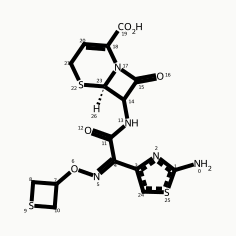 Nc1nc(/C(=N/OC2CSC2)C(=O)NC2C(=O)N3C(C(=O)O)=CCS[C@H]23)cs1